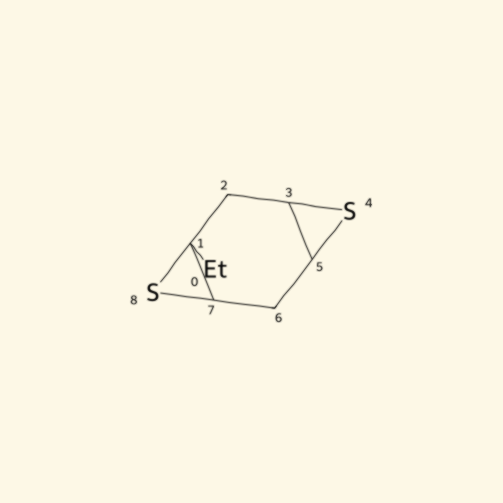 CCC12CC3SC3CC1S2